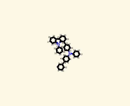 c1ccc(-c2ccc(N(c3ccccc3)c3ccc(-c4cccc5c6ccccc6n(-c6ccccc6)c45)cc3)cc2)cc1